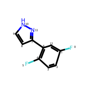 Fc1ccc(F)c(-c2cc[nH]n2)c1